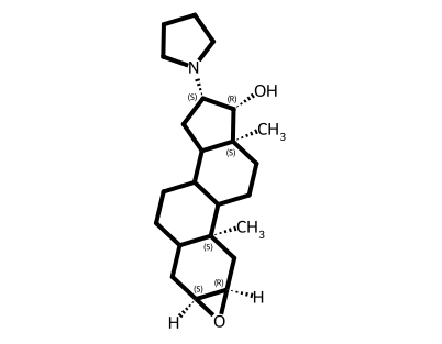 C[C@]12C[C@H]3O[C@H]3CC1CCC1C2CC[C@@]2(C)C1C[C@H](N1CCCC1)[C@@H]2O